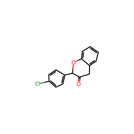 O=C1Cc2ccccc2OC1c1ccc(Cl)cc1